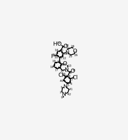 CN1CCN(c2cc(Cl)c(C(=O)N3COc4c(cccc4-c4cc(N5CCOCC5)c(C(=O)O)cc4F)C3)c(Cl)c2)CC1